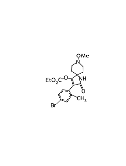 CCOC(=O)OC1=C(c2ccc(Br)cc2C)C(=O)NC12CCN(OC)CC2